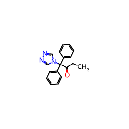 CCC(=O)C(c1ccccc1)(c1ccccc1)n1cnnc1